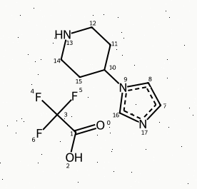 O=C(O)C(F)(F)F.c1cn(C2CCNCC2)cn1